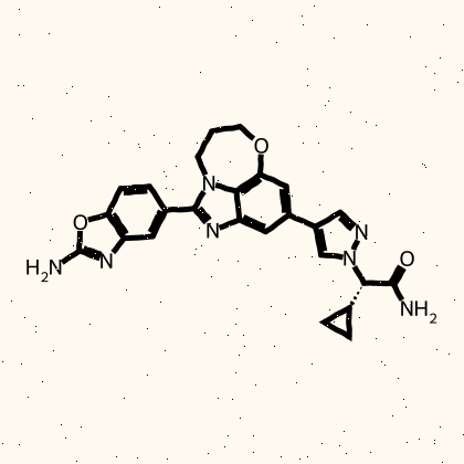 NC(=O)[C@H](C1CC1)n1cc(-c2cc3c4c(c2)nc(-c2ccc5oc(N)nc5c2)n4CCCO3)cn1